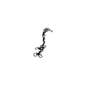 CC(C)(C)ON=CCCOCCCCCOc1c(Cl)cc(OCC=C(Cl)Cl)cc1Cl